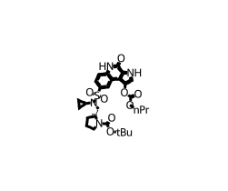 CCCOC(=O)Oc1c[nH]c2c(=O)[nH]c3ccc(S(=O)(=O)N(C[C@H]4CCCN4C(=O)OC(C)(C)C)C4CC4)cc3c12